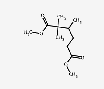 COC(=O)CCC(C)C(C)(C)C(=O)OC